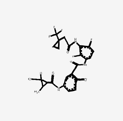 CC1C(C(=O)Nc2ccc(Cl)c(C(=O)Nc3ccc(F)c(NC(=O)CC4(C(F)(F)F)CC4)c3F)c2)C1(Cl)Cl